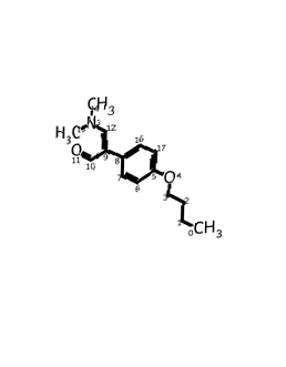 CCCCOc1ccc(C(C=O)=CN(C)C)cc1